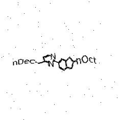 CCCCCCCCCCCc1ccnc(-c2ccc3c(c2)CC(CCCCCCCC)C3)n1